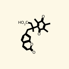 CC1=C(C)C(=O)C(C(C)(CC(=O)O)Cc2ccc3ccc(=O)oc3c2)=C(C)C1=O